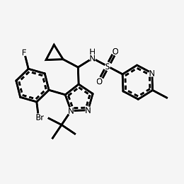 Cc1ccc(S(=O)(=O)NC(c2cnn(C(C)(C)C)c2-c2cc(F)ccc2Br)C2CC2)cn1